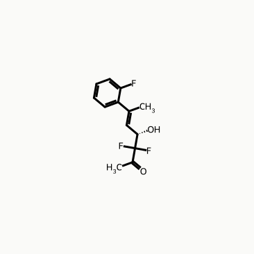 CC(=O)C(F)(F)[C@@H](O)/C=C(\C)c1ccccc1F